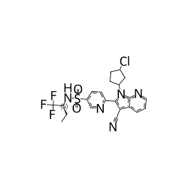 CC[C@H](NS(=O)(=O)c1ccc(-c2c(C#N)c3cccnc3n2C2CCC(Cl)C2)nc1)C(F)(F)F